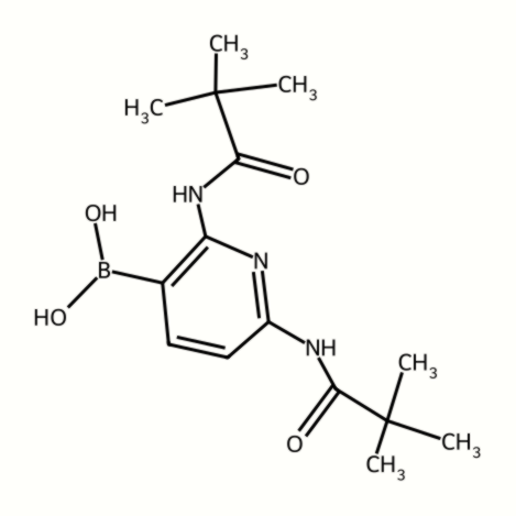 CC(C)(C)C(=O)Nc1ccc(B(O)O)c(NC(=O)C(C)(C)C)n1